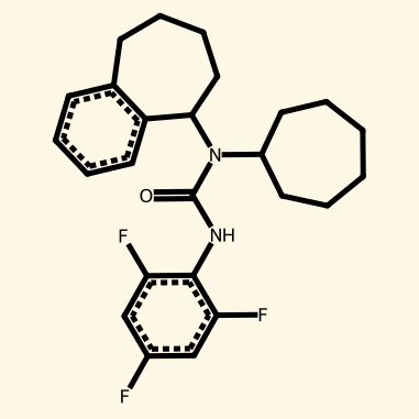 O=C(Nc1c(F)cc(F)cc1F)N(C1CCCCCC1)C1CCCCc2ccccc21